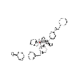 NC1CC2CCC(C1)N2C(=O)[C@@H]1CN(Cc2ccc(-c3ccc(Cl)cc3)cc2)CCN1S(=O)(=O)c1ccc(OCC2CCCCC2)cc1